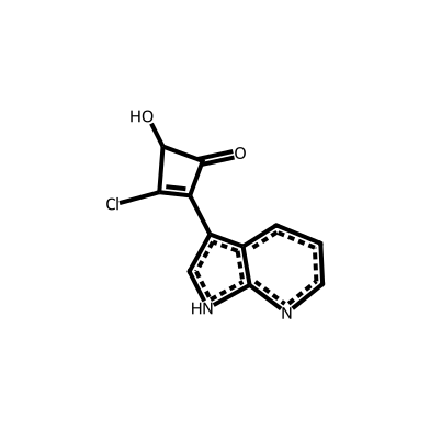 O=C1C(c2c[nH]c3ncccc23)=C(Cl)C1O